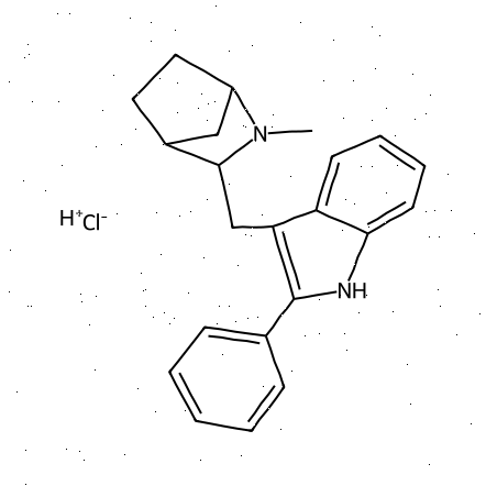 CN1C2CCC(C2)C1Cc1c(-c2ccccc2)[nH]c2ccccc12.[Cl-].[H+]